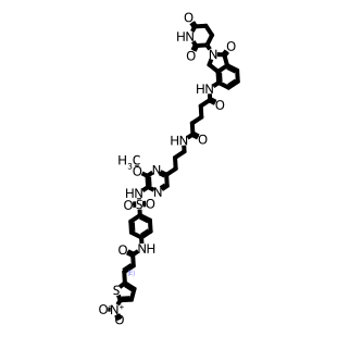 COc1nc(CCCNC(=O)CCCC(=O)Nc2cccc3c2CN(C2CCC(=O)NC2=O)C3=O)cnc1NS(=O)(=O)c1ccc(NC(=O)/C=C/c2ccc([N+](=O)[O-])s2)cc1